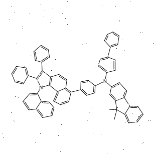 CC1(C)c2ccccc2-c2ccc(N(c3ccc(-c4ccccc4)cc3)c3ccc(-c4cccc5c4ccc4c(-c6ccccc6)c(-c6ccccc6)n(-c6cccc7ccccc67)c45)cc3)cc21